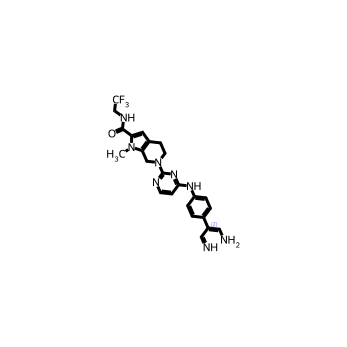 Cn1c(C(=O)NCC(F)(F)F)cc2c1CN(c1nccc(Nc3ccc(/C(C=N)=C/N)cc3)n1)CC2